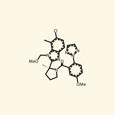 COCn1c([C@]2(C)CCCN2C(=O)c2cc(OC)ccc2-n2nccn2)nc2ccc(Cl)c(C)c21